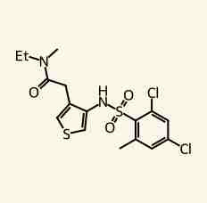 CCN(C)C(=O)Cc1cscc1NS(=O)(=O)c1c(C)cc(Cl)cc1Cl